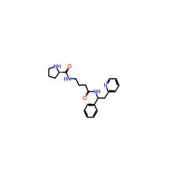 O=C(CCCNC(=O)[C@H]1CCCN1)NC(Cc1ccccn1)c1ccccc1